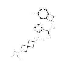 CS(=N)(=O)N1CC2(CC(Nc3nonc3/C(=N\O)N[C@@H]3Cc4ccc(F)cc43)C2)C1